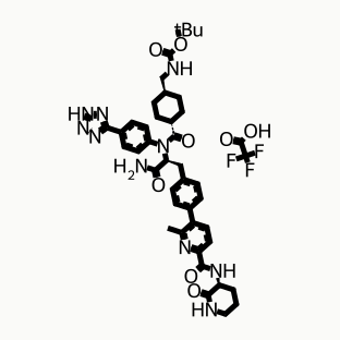 Cc1nc(C(=O)N[C@H]2CCCNC2=O)ccc1-c1ccc(C[C@@H](C(N)=O)N(c2ccc(-c3nn[nH]n3)cc2)C(=O)[C@H]2CC[C@H](CNC(=O)OC(C)(C)C)CC2)cc1.O=C(O)C(F)(F)F